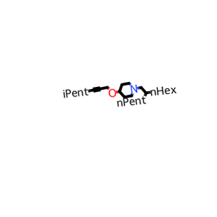 CCCCCCC(CCCCC)CN1CCC(OCC#CC(C)CCC)CC1